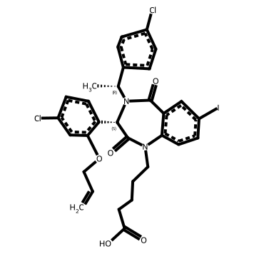 C=CCOc1cc(Cl)ccc1[C@H]1C(=O)N(CCCCC(=O)O)c2ccc(I)cc2C(=O)N1[C@H](C)c1ccc(Cl)cc1